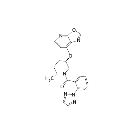 C[C@@H]1CC[C@@H](Oc2ccnc3ocnc23)CN1C(=O)c1ccccc1-n1nccn1